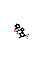 Cc1cc([N+](=O)[O-])ccc1/N=C1/OCC2(CCCC2)N1C1CCC1